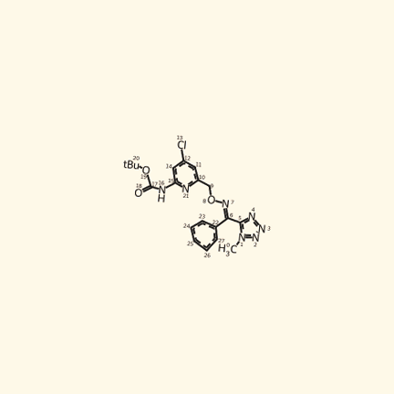 Cn1nnnc1C(=NOCc1cc(Cl)cc(NC(=O)OC(C)(C)C)n1)c1ccccc1